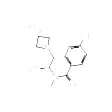 CCC[C@@H](CN1C[C@@H](O)[C@H]1C)N(C)C(=O)c1ccc(Cl)cc1